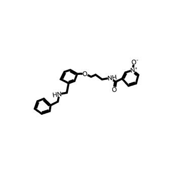 O=C(NCCCOc1cccc(CNCc2ccccc2)c1)c1ccc[n+]([O-])c1